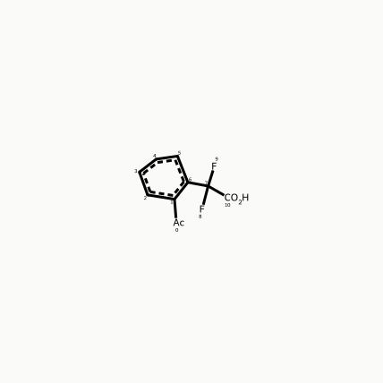 CC(=O)c1ccccc1C(F)(F)C(=O)O